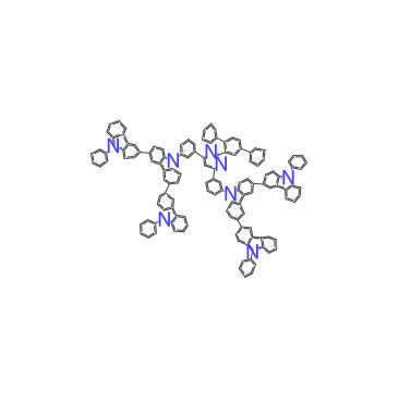 c1ccc(-c2ccc(-c3ccccc3)c(-c3nc(-c4cccc(-n5c6ccc(-c7ccc8c(c7)c7ccccc7n8-c7ccccc7)cc6c6cc(-c7ccc8c(c7)c7ccccc7n8-c7ccccc7)ccc65)c4)cc(-c4cccc(-n5c6ccc(-c7ccc8c(c7)c7ccccc7n8-c7ccccc7)cc6c6cc(-c7ccc8c(c7)c7ccccc7n8-c7ccccc7)ccc65)c4)n3)c2)cc1